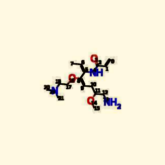 C=CC(=O)NC(=C/C)/C(=C\CC(CN)OC)OCCN(C)C